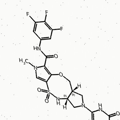 Cn1cc2c(c1C(=O)Nc1cc(F)c(F)c(F)c1)OC[C@@H]1CN(c3nccc(=O)[nH]3)C[C@@H]1NS2(=O)=O